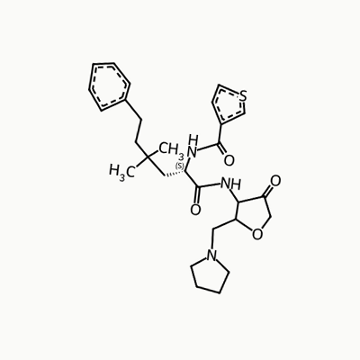 CC(C)(CCc1ccccc1)C[C@H](NC(=O)c1ccsc1)C(=O)NC1C(=O)COC1CN1CCCC1